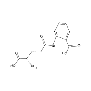 N[C@@H](CCC(=O)Nc1ccccc1C(=O)O)C(=O)O